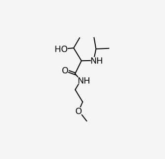 COCCNC(=O)C(NC(C)C)C(C)O